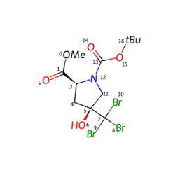 COC(=O)[C@@H]1C[C@@](O)(C(Br)(Br)Br)CN1C(=O)OC(C)(C)C